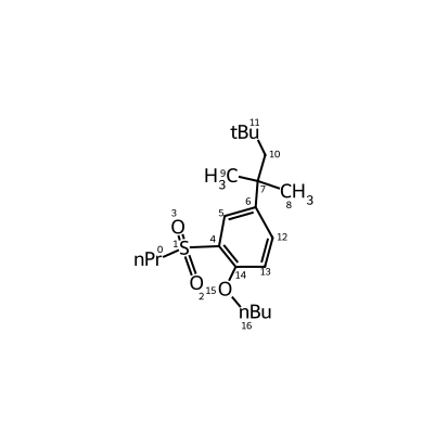 [CH2]CCS(=O)(=O)c1cc(C(C)(C)CC(C)(C)C)ccc1OCCCC